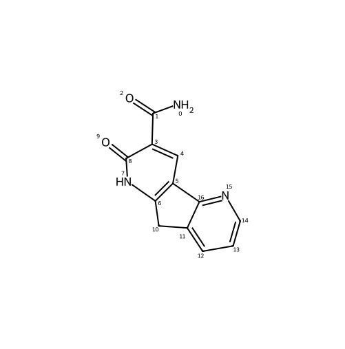 NC(=O)c1cc2c([nH]c1=O)Cc1cccnc1-2